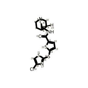 O=C(N[C@H]1CN2CCC1CC2)c1ccc(Sc2nc(Cl)cs2)s1